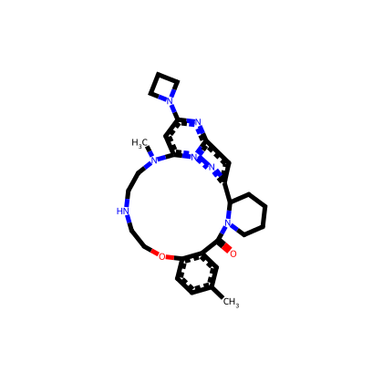 Cc1ccc2c(c1)C(=O)N1CCCCC1c1cc3nc(N4CCC4)cc(n3n1)N(C)CCNCCO2